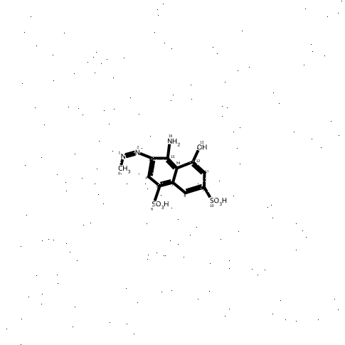 C/N=N\c1cc(S(=O)(=O)O)c2cc(S(=O)(=O)O)cc(O)c2c1N